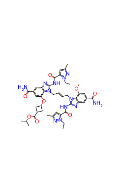 CCn1nc(C)cc1C(=O)Nc1nc2cc(C(N)=O)cc(OC)c2n1C/C=C/Cn1c(NC(=O)c2cc(C)nn2CC)nc2cc(C(N)=O)cc(OC3CC(C(=O)OC(C)C)C3)c21